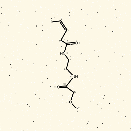 C/C=C\CC(=O)NCCNC(=O)COC(C)C